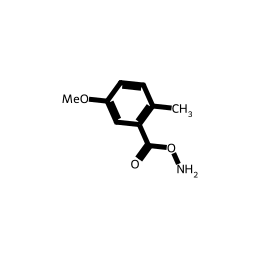 COc1ccc(C)c(C(=O)ON)c1